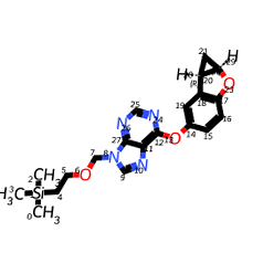 C[Si](C)(C)CCOCn1cnc2c(Oc3ccc4c(c3)[C@H]3C[C@H]3O4)ncnc21